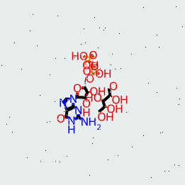 Nc1nc2c(ncn2[C@@H]2O[C@H](COP(=O)(O)OP(=O)(O)O)[C@@H](O)[C@H]2O)c(=O)[nH]1.O=C[C@@H](O)[C@H](O)[C@H](O)CO